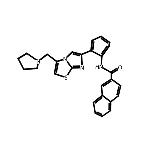 O=C(Nc1ccccc1-c1cn2c(CN3CCCC3)csc2n1)c1ccc2ccccc2c1